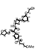 COCCCS(=O)(=O)c1ccc(/C(=N\O[C@@H]2CCOC2)C(=O)Nc2ncc(-c3cccc(OCCO)n3)s2)cc1